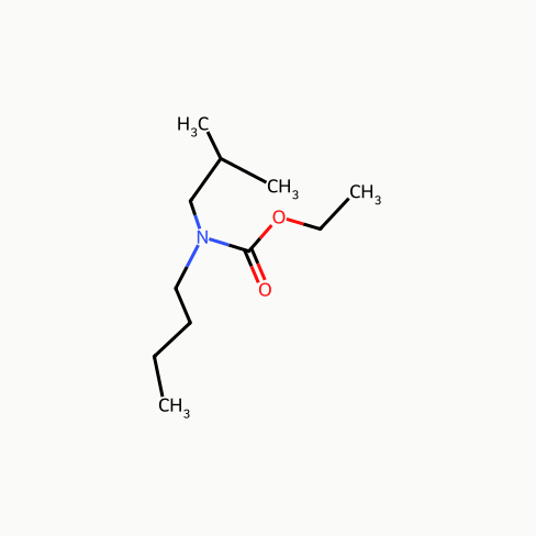 CCCCN(CC(C)C)C(=O)OCC